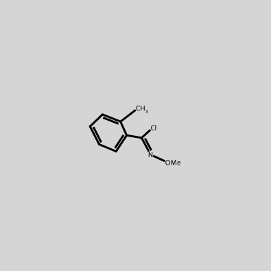 CO/N=C(\Cl)c1ccccc1C